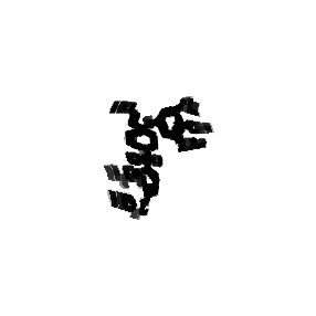 Cn1c(C(=O)O)ccc1S(=O)(=O)N1CCC(CCO)(Sc2cc(C(C)(C)C)c(O)c(C(C)(C)C)c2)CC1